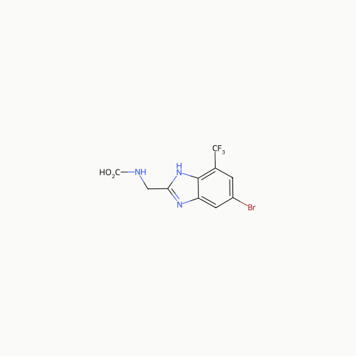 O=C(O)NCc1nc2cc(Br)cc(C(F)(F)F)c2[nH]1